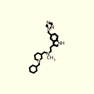 CN(CCc1c[nH]c2ccc(Cn3cncn3)cc12)CC1CCCN(CC2CCCCC2)C1